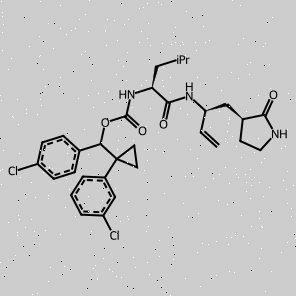 C=C[C@H](C[C@@H]1CCNC1=O)NC(=O)[C@H](CC(C)C)NC(=O)OC(c1ccc(Cl)cc1)C1(c2cccc(Cl)c2)CC1